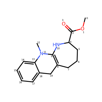 COC(=O)C1CCCC2=C(N1)N(C)c1ccccc1C2